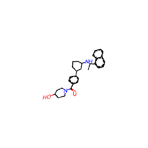 CC(NC1CCCC(c2ccc(C(=O)N3CCC(O)CC3)cc2)C1)c1cccc2ccccc12